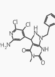 Cn1c(=O)[nH]c2c(c1=O)C(c1cc(N)nc(Cl)c1Cl)NN2Cc1ccccc1